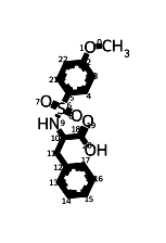 COc1ccc(S(=O)(=O)NC(Cc2ccccc2)C(=O)O)cc1